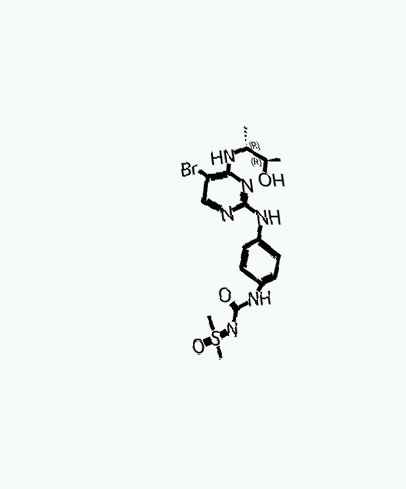 C[C@@H](O)[C@@H](C)Nc1nc(Nc2ccc(NC(=O)N=S(C)(C)=O)cc2)ncc1Br